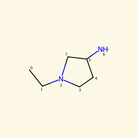 CCN1CCC([NH])C1